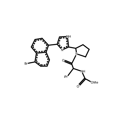 COC(=O)NC(C(=O)N1CCCC1c1nc(-c2cccc3c(Br)cccc23)c[nH]1)C(C)C